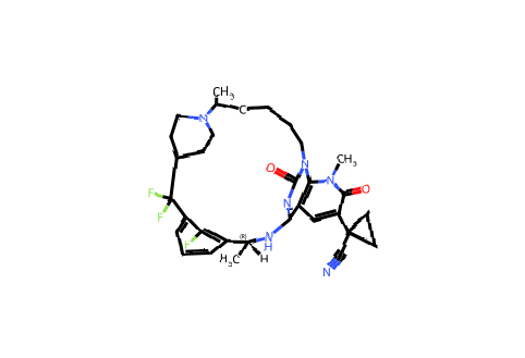 CC1CCCCn2c(=O)nc(c3cc(C4(C#N)CC4)c(=O)n(C)c32)N[C@H](C)c2cccc(c2F)C(F)(F)C2CCN1CC2